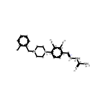 Cc1ccccc1CN1CCN(c2ccc(/C=N/NC(N)=S)c(F)c2F)CC1